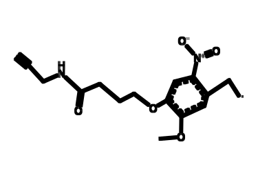 C#CCNC(=O)CCCOc1cc([N+](=O)[O-])c(C[CH2])cc1OC